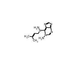 CC(C)=CCN(N)c1c2ncnc-2ncn1N